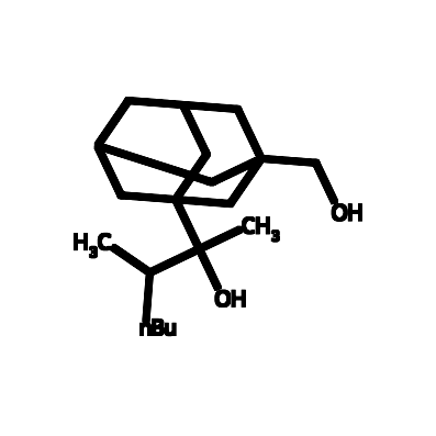 CCCCC(C)C(C)(O)C12CC3CC(CC(CO)(C3)C1)C2